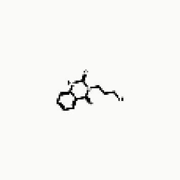 O=c1[nH]c2ccccc2c(=O)n1CCCCl